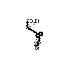 CCOC(=O)CCC[N+](C)(C)CCCCCCN1C=CC(=Cc2nc3ncc(Br)cc3s2)c2ccccc21